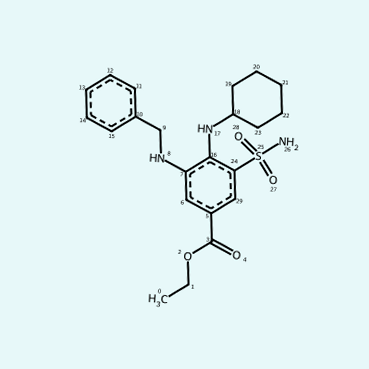 CCOC(=O)c1cc(NCc2ccccc2)c(NC2CCCCC2)c(S(N)(=O)=O)c1